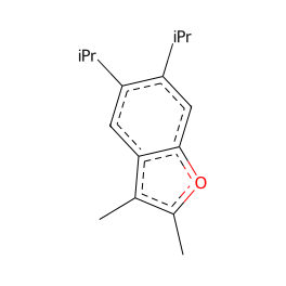 Cc1oc2cc(C(C)C)c(C(C)C)cc2c1C